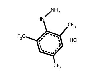 Cl.NNc1c(C(F)(F)F)cc(C(F)(F)F)cc1C(F)(F)F